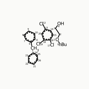 CCCCOCCO.Cc1ccccc1.Clc1ccc(Cl)c(Cl)c1.c1ccccc1